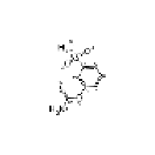 CS(=O)(=O)c1cccc(OC(N)=S)c1